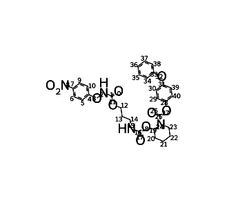 O=C(NOc1ccc([N+](=O)[O-])cc1)OCCCNC(=O)OC1CCCCN1C(=O)Oc1ccc(Oc2ccccc2)cc1